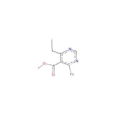 CCc1ncnc(Cl)c1C(=O)OC